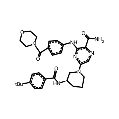 CC(C)(C)c1ccc(C(=O)N[C@@H]2CCCN(c3cnc(C(N)=O)c(Nc4ccc(C(=O)N5CCOCC5)cc4)n3)C2)cc1